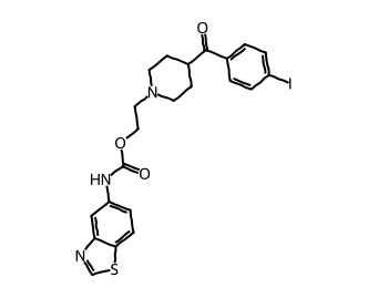 O=C(Nc1ccc2scnc2c1)OCCN1CCC(C(=O)c2ccc(I)cc2)CC1